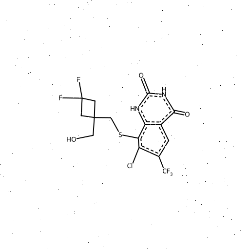 O=c1[nH]c(=O)c2cc(C(F)(F)F)c(Cl)c(SCC3(CO)CC(F)(F)C3)c2[nH]1